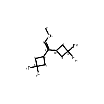 COC=C(C1CC(F)(F)C1)C1CC(F)(F)C1